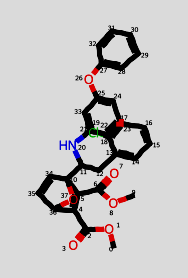 COC(=O)C1=C(C(=O)OC)C2(C(Cc3ccccc3Cl)Nc3cccc(Oc4ccccc4)c3)C=CC1O2